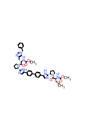 COC[C@H](NC(=O)OC)C(=O)N1CCC[C@H]1c1ncc(-c2ccc(-c3ccc(-c4cnc([C@@H]5CCCN5C(=O)[C@H](Cc5cn(Cc6ccccc6)cn5)NC(=O)OC)[nH]4)cc3)cc2)[nH]1